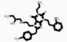 CCCn1c(=O)c2c(nc(Cc3ccc(N)cc3)n2CCNCC(O)CC)n(CCc2ccccc2N)c1=O